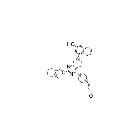 CN1CCCC[C@H]1COc1nc2c(c(N3CCN(C=CC=O)CC3)n1)CCN(c1cc(O)cc3ccccc13)C2